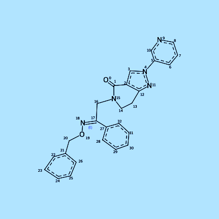 O=C1c2cn(-c3cccnc3)nc2CCN1C/C(=N/OCc1ccccc1)c1ccccc1